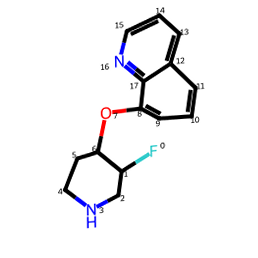 FC1CNCCC1Oc1cccc2cccnc12